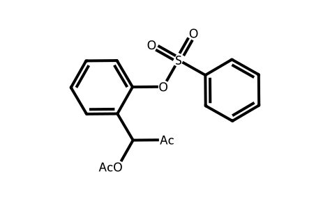 CC(=O)OC(C(C)=O)c1ccccc1OS(=O)(=O)c1ccccc1